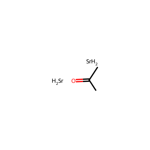 CC(C)=O.[SrH2].[SrH2]